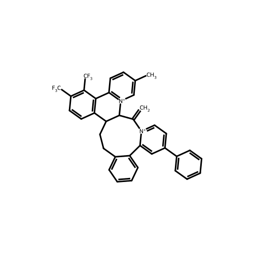 C=C1C2C(CCc3ccccc3-c3cc(-c4ccccc4)cc[n+]31)c1ccc(C(F)(F)F)c(C(F)(F)F)c1-c1ccc(C)c[n+]12